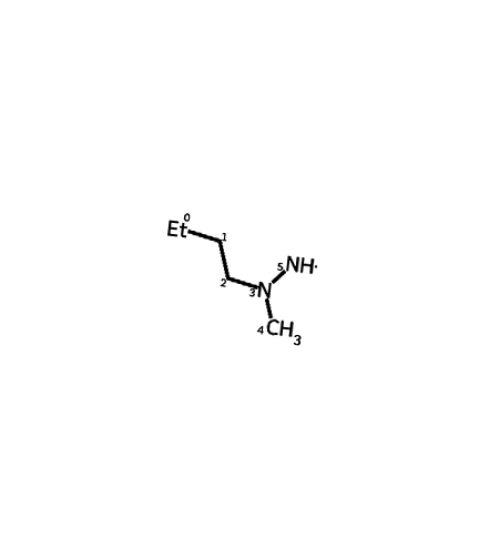 CCCCN(C)[NH]